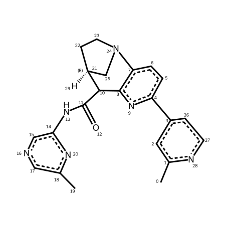 Cc1cc(-c2ccc3c(n2)C(C(=O)Nc2cncc(C)n2)[C@H]2CCN3C2)ccn1